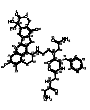 CC[C@@]1(O)C(=O)OCc2c1cc1n(c2=O)Cc2c-1nc1cc(F)c(C)c3c1c2[C@@H](NCCN(CC(N)=O)C(=O)[C@H](Cc1ccccc1)NC(=O)CNC(=O)CN)CC3